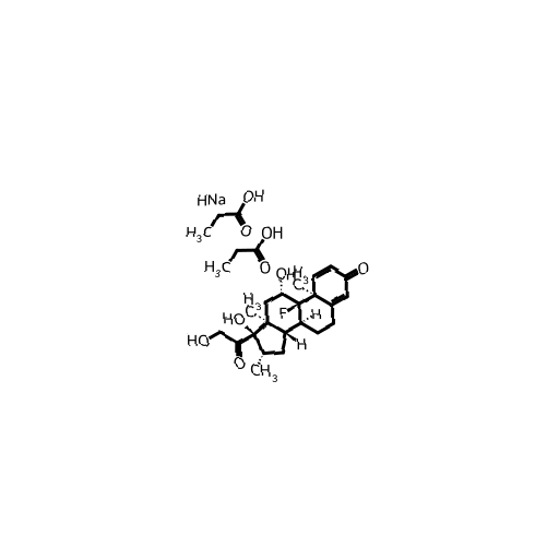 CCC(=O)O.CCC(=O)O.C[C@H]1C[C@H]2[C@@H]3CCC4=CC(=O)C=C[C@]4(C)[C@@]3(F)[C@@H](O)C[C@]2(C)[C@@]1(O)C(=O)CO.[NaH]